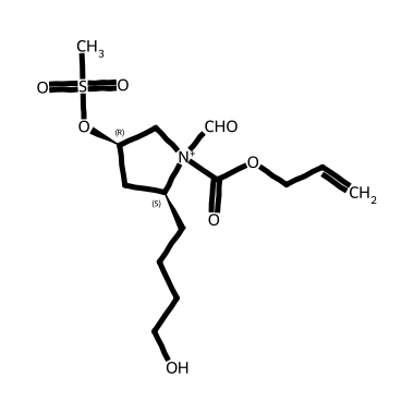 C=CCOC(=O)[N+]1(C=O)C[C@H](OS(C)(=O)=O)C[C@@H]1CCCCO